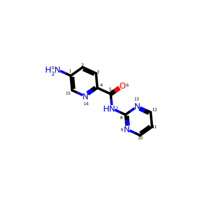 Nc1ccc(C(=O)Nc2ncccn2)nc1